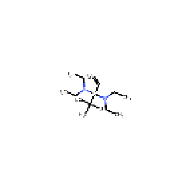 C=C[Si](N(CC)CC)(N(CC)CC)C(C)(C)C